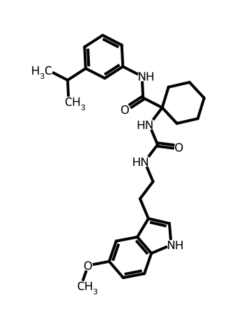 COc1ccc2[nH]cc(CCNC(=O)NC3(C(=O)Nc4cccc(C(C)C)c4)CCCCC3)c2c1